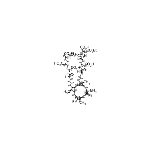 CCOC(=O)CN(CCN(CCN(CC(=O)O)CC(=O)NCCCCC1=C(C)c2cc3[nH]c(cc4nc(cc5[nH]c(cc1n2)c(CCCCNC(=O)CN(CCN(CCN(CC(=O)O)CC(=O)OCC)CC(=O)O)CC(=O)O)c5C)C(C)=C4CC)c(C)c3CC)CC(=O)O)CC(=O)O